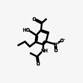 CCCc1c(O)c(C(C)=O)cc([N+](=O)[O-])c1NC(C)=O